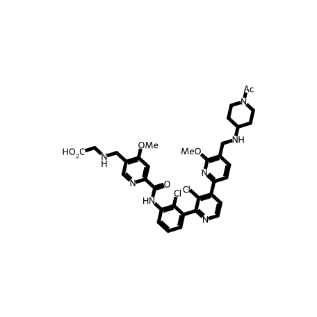 COc1cc(C(=O)Nc2cccc(-c3nccc(-c4ccc(CNC5CCN(C(C)=O)CC5)c(OC)n4)c3Cl)c2Cl)ncc1CNCC(=O)O